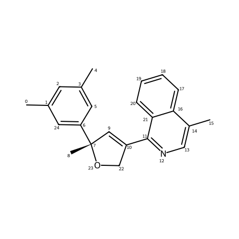 Cc1cc(C)cc([C@]2(C)C=C(c3ncc(C)c4ccccc34)CO2)c1